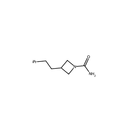 CC(C)CCC1CN(C(N)=O)C1